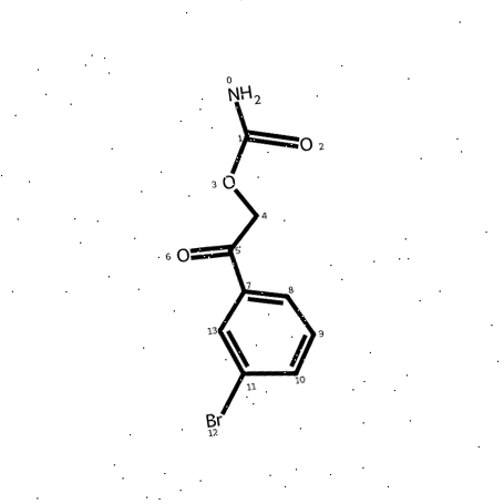 NC(=O)OCC(=O)c1cccc(Br)c1